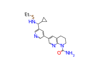 CCSNC(c1cncc(-c2cnc3c(c2)CCCN3C(N)=O)c1)C1CC1